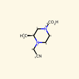 C[C@H]1CN(C(=O)O)CCN1CC#N